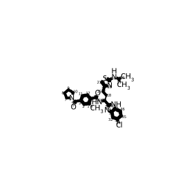 Cc1cc(C(=O)N2CCCC2)ccc1C(=O)N[C@@H](CCc1csc(NC(C)C)n1)c1nc2cc(Cl)ccc2[nH]1